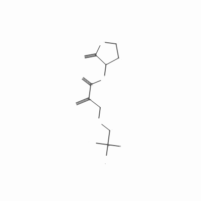 C=C(COCC(F)(F)S(=O)(=O)O)C(=O)OC1CCOC1=O